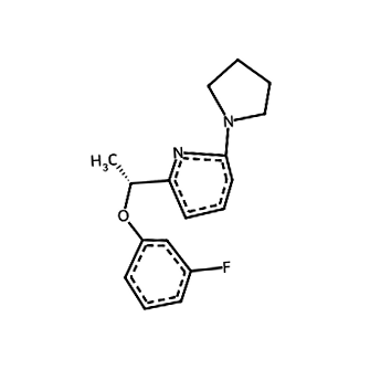 C[C@@H](Oc1cccc(F)c1)c1cccc(N2CCCC2)n1